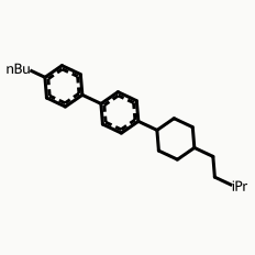 CCCCc1ccc(-c2ccc(C3CCC(CCC(C)C)CC3)cc2)cc1